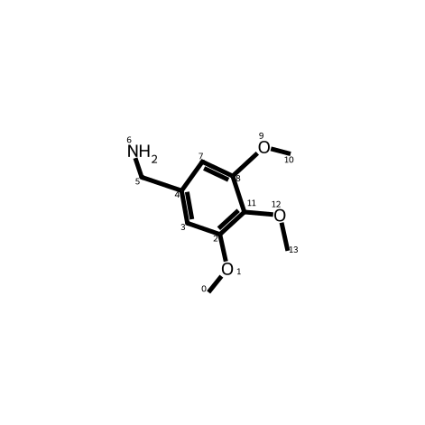 COc1cc(CN)cc(OC)c1OC